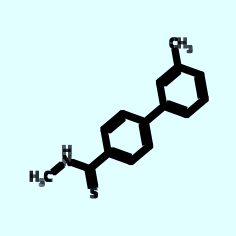 CNC(=S)c1ccc(-c2cccc(C)c2)cc1